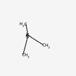 CCCCCCCCCCCCCCCCCc1n(CCCCCCCCCC)cc[n+]1CCCCCCCCCCCCCCCCC